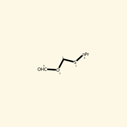 CCCSCOC=O